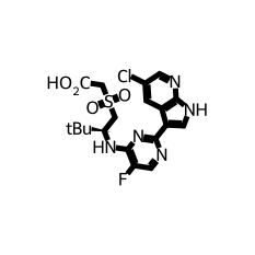 CC(C)(C)[C@@H](CS(=O)(=O)CC(=O)O)Nc1nc(-c2c[nH]c3ncc(Cl)cc23)ncc1F